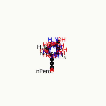 CCCCCOc1ccc(-c2ccc(-c3ccc(C(=O)N[C@H]4C[C@@H](O)[C@@H](OCCC)NC(=O)[C@@H]5[C@@H](O)[C@@H](C)CN5C(=O)[C@H]([C@@H](C)O)NC(=O)[C@H]([C@H](O)[C@@H](O)c5ccc(O)c(N)c5)NC(=O)[C@@H]5C[C@@H](O)CN5C(=O)[C@H]([C@@H](C)O)NC4=O)cc3)cc2)cc1